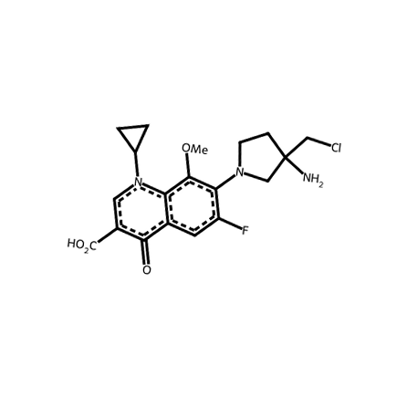 COc1c(N2CCC(N)(CCl)C2)c(F)cc2c(=O)c(C(=O)O)cn(C3CC3)c12